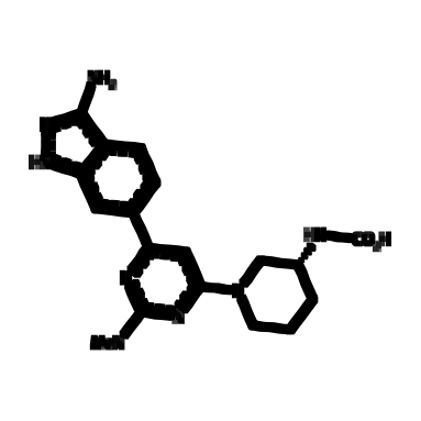 CNc1nc(-c2ccc3c(N)n[nH]c3c2)cc(N2CCC[C@@H](NC(=O)O)C2)n1